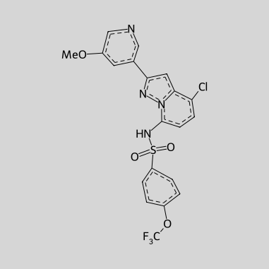 COc1cncc(-c2cc3c(Cl)ccc(NS(=O)(=O)c4ccc(OC(F)(F)F)cc4)n3n2)c1